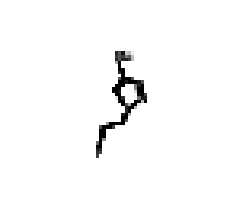 CC(C)(C)c1cn(CCF)nn1